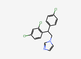 Clc1ccc(C(Cn2ccnc2)c2ccc(Cl)cc2Cl)cc1